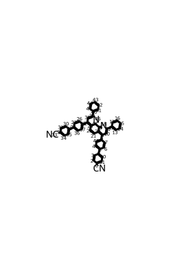 N#Cc1ccc(-c2ccc(-c3cc(-c4ccccc4)nc4c3ccc3c(-c5ccc(-c6ccc(C#N)cc6)cc5)cc(-c5ccccc5)nc34)cc2)cc1